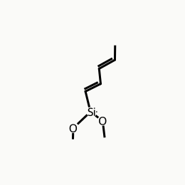 CC=CC=C[Si](OC)OC